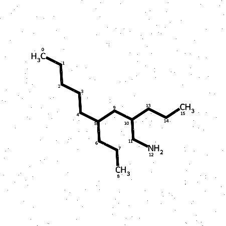 CCCCCC(CCC)CC(CN)CCC